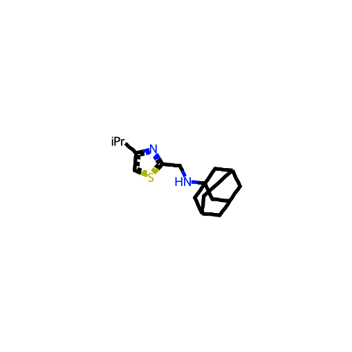 CC(C)c1csc(CNC23CC4CC(CC(C4)C2)C3)n1